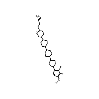 C/C=C/CCC1CCC(C2CCC(C3CCC(C4CCC(c5ccc(OCC)c(F)c5F)CC4)CC3)CC2)CO1